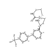 O=C1NCCC[C@@]12CC[C@@H](c1cc(-c3ccc(C(F)(F)F)cc3)ccn1)N2